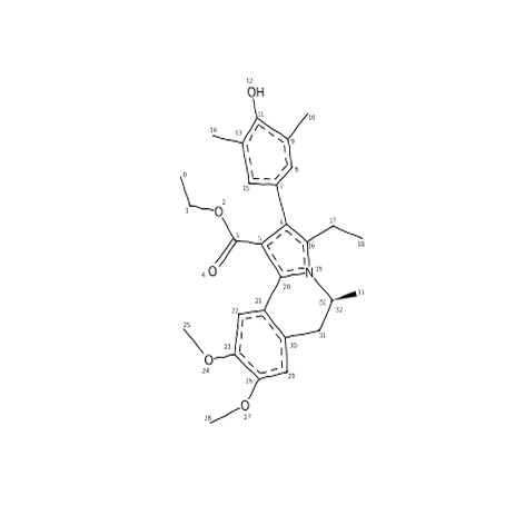 CCOC(=O)c1c(-c2cc(C)c(O)c(C)c2)c(CC)n2c1-c1cc(OC)c(OC)cc1C[C@@H]2C